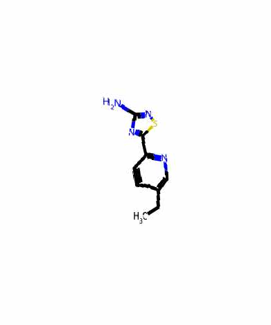 CCc1ccc(-c2nc(N)ns2)nc1